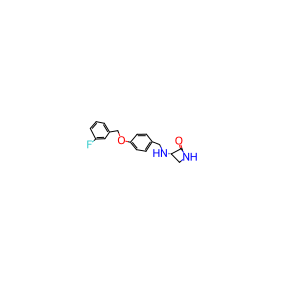 O=C1NC[C@@H]1NCc1ccc(OCc2cccc(F)c2)cc1